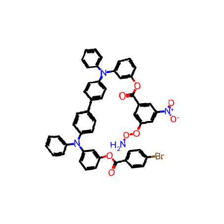 NOOc1cc(C(=O)Oc2cccc(N(c3ccccc3)c3ccc(-c4ccc(N(c5ccccc5)c5cccc(OC(=O)c6ccc(Br)cc6)c5)cc4)cc3)c2)cc([N+](=O)[O-])c1